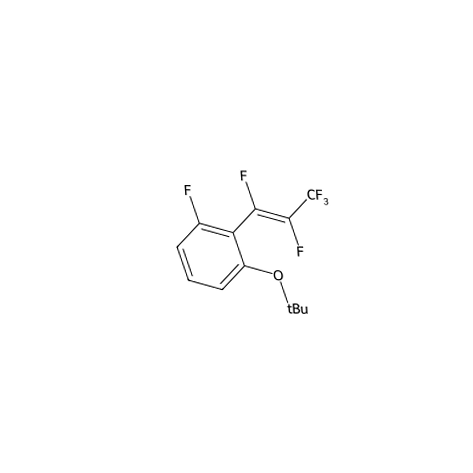 CC(C)(C)Oc1cccc(F)c1C(F)=C(F)C(F)(F)F